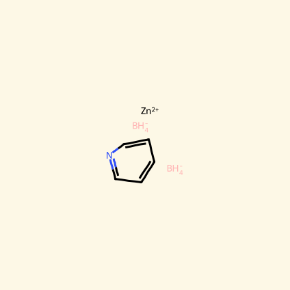 [BH4-].[BH4-].[Zn+2].c1ccncc1